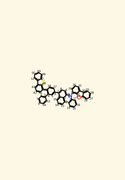 c1ccc(-c2cc(-c3ccc(N(c4ccccc4)c4cccc5c4oc4ccccc45)c4ccccc34)ccc2-c2cccc3c2sc2ccccc23)cc1